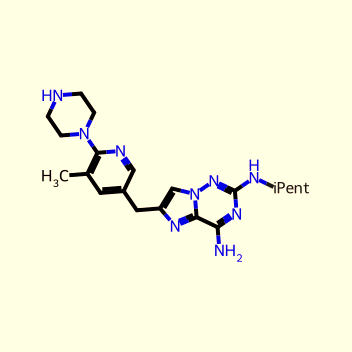 CCCC(C)Nc1nc(N)c2nc(Cc3cnc(N4CCNCC4)c(C)c3)cn2n1